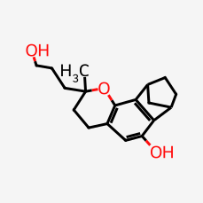 CC1(CCCO)CCc2cc(O)c3c(c2O1)C1CCC3C1